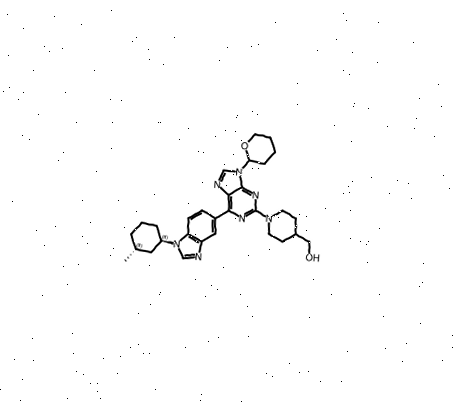 C[C@@H]1CCC[C@@H](n2cnc3cc(-c4nc(N5CCC(CO)CC5)nc5c4ncn5C4CCCCO4)ccc32)C1